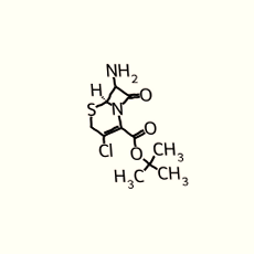 CC(C)(C)OC(=O)C1=C(Cl)CS[C@H]2C(N)C(=O)N12